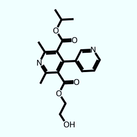 Cc1nc(C)c(C(=O)OC(C)C)c(-c2cccnc2)c1C(=O)OCCO